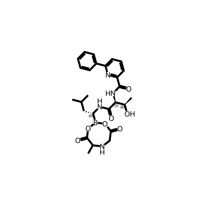 CC(C)C[C@H](NC(=O)[C@@H](NC(=O)c1cccc(-c2ccccc2)n1)[C@@H](C)O)B1OC(=O)CNC(C)C(=O)O1